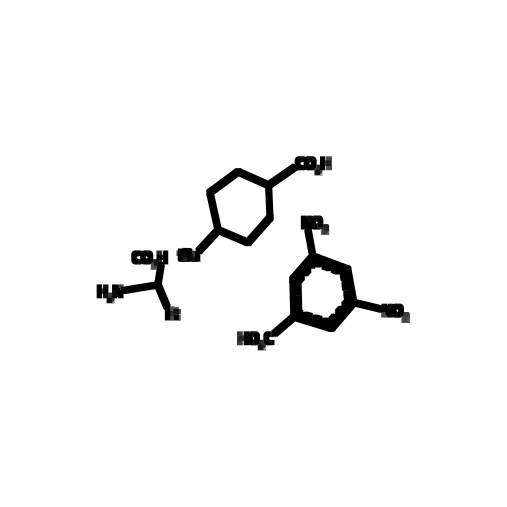 CC(C)(C)C1CCC(C(=O)O)CC1.CCC(N)C(=O)O.O=C(O)c1cc([N+](=O)[O-])cc([N+](=O)[O-])c1